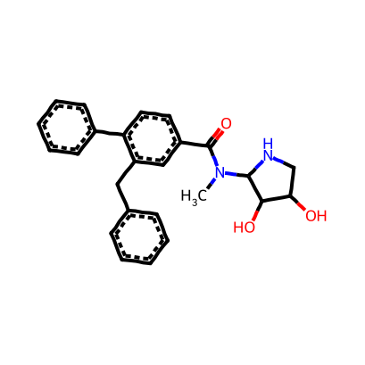 CN(C(=O)c1ccc(-c2ccccc2)c(Cc2ccccc2)c1)C1NCC(O)C1O